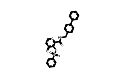 O=C(NCc1ccc(-c2ccccc2)cc1)c1occc(=O)c1OS(=O)(=O)c1ccccc1